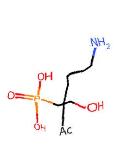 CC(=O)C(O)(CCN)P(=O)(O)O